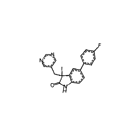 CC1(Cc2cncnc2)C(=O)Nc2ccc(-c3ccc(F)cc3)cc21